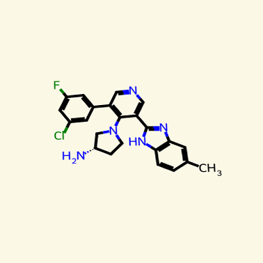 Cc1ccc2[nH]c(-c3cncc(-c4cc(F)cc(Cl)c4)c3N3CC[C@H](N)C3)nc2c1